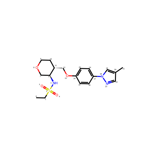 CCS(=O)(=O)N[C@H]1COCC[C@@H]1COc1ccc(-n2cc(C)cn2)cc1